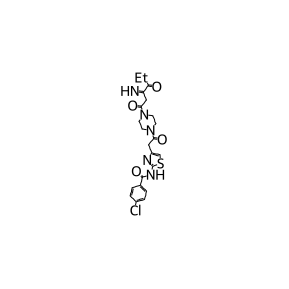 CCC(=O)C(=N)CC(=O)N1CCN(C(=O)Cc2csc(NC(=O)c3ccc(Cl)cc3)n2)CC1